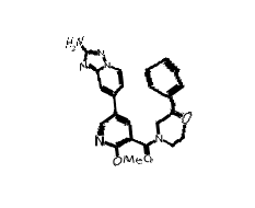 COc1ncc(-c2ccn3nc(N)nc3c2)cc1C(=O)N1CCOC(c2ccccc2)C1